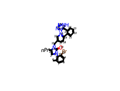 CCCc1cn(-c2c(C)cccc2Br)c(=O)n1Cc1ccc(-c2ccccc2-c2nnn[nH]2)nc1